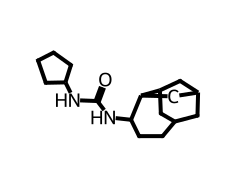 O=C(NC1CCCC1)NC1CCC2CC3CC(C2)C1C3